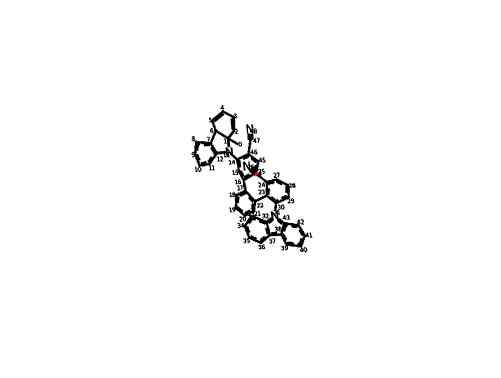 CC12C=CC=CC1c1ccccc1N2c1cc(-c2ccccc2-c2c(C#N)cccc2-n2c3ccccc3c3ccccc32)ccc1C#N